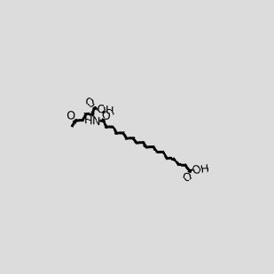 CC(=O)CCC(NC(=O)CCCCCCCCCCCCCCCCC(=O)O)C(=O)O